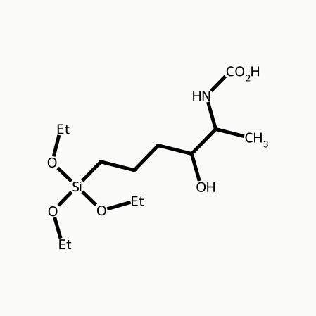 CCO[Si](CCCC(O)C(C)NC(=O)O)(OCC)OCC